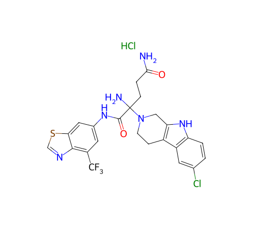 Cl.NC(=O)CCC(N)(C(=O)Nc1cc(C(F)(F)F)c2ncsc2c1)N1CCc2c([nH]c3ccc(Cl)cc23)C1